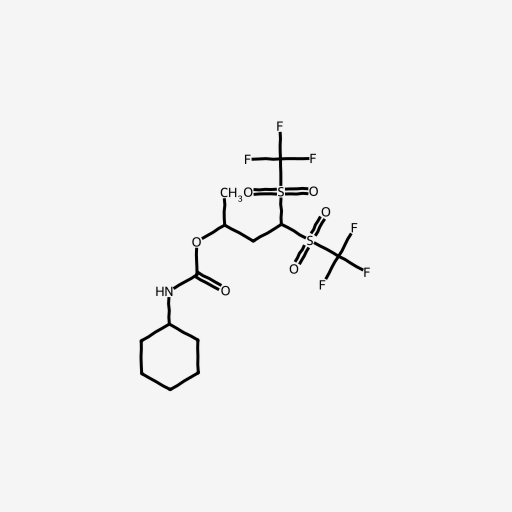 CC(CC(S(=O)(=O)C(F)(F)F)S(=O)(=O)C(F)(F)F)OC(=O)NC1CCCCC1